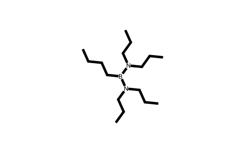 CCCCB(N(CCC)CCC)N(CCC)CCC